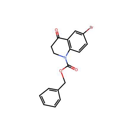 O=C1CCN(C(=O)OCc2ccccc2)c2ccc(Br)cc21